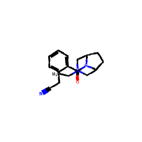 CCN1CC2CCC(C1)N2C(=O)c1ccccc1CC#N